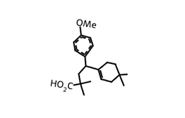 COc1ccc(C(CC(C)(C)C(=O)O)C2=CCC(C)(C)CC2)cc1